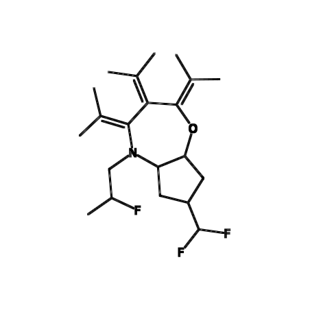 CC(C)=C1OC2CC(C(F)F)CC2N(CC(C)F)C(=C(C)C)C1=C(C)C